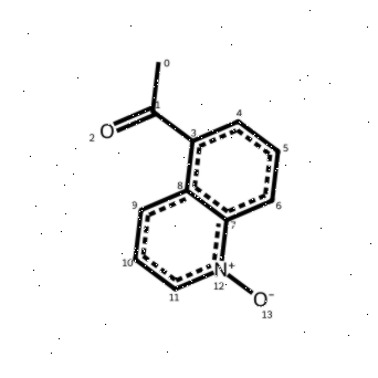 CC(=O)c1cccc2c1ccc[n+]2[O-]